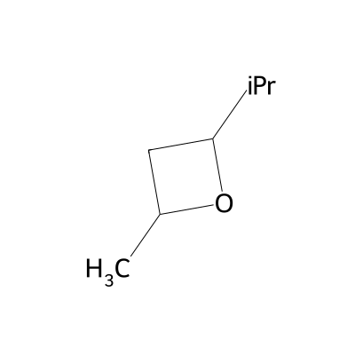 CC1CC(C(C)C)O1